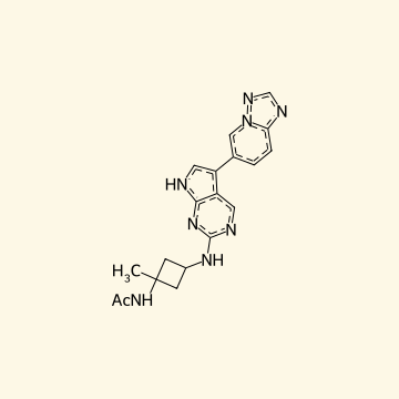 CC(=O)NC1(C)CC(Nc2ncc3c(-c4ccc5ncnn5c4)c[nH]c3n2)C1